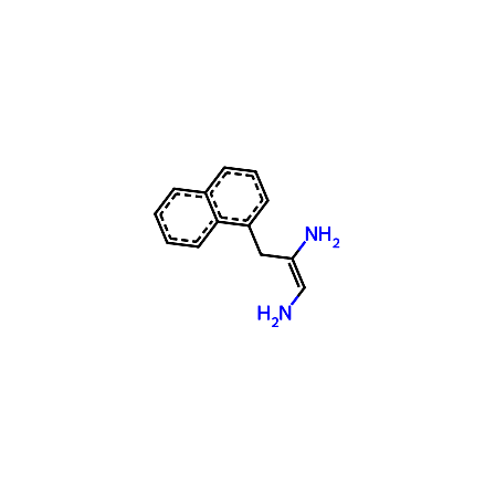 N/C=C(/N)Cc1cccc2ccccc12